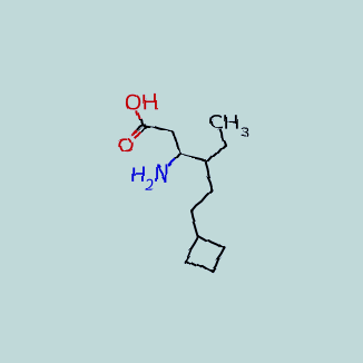 CCC(CCC1CCC1)C(N)CC(=O)O